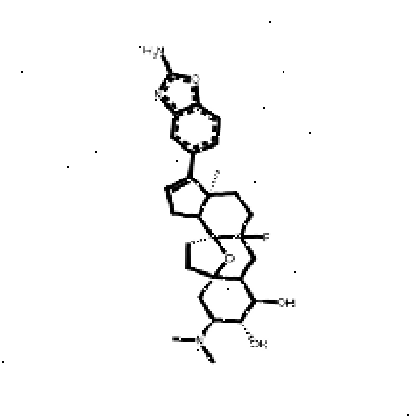 CN(C)[C@H]1C[C@@]23CC[C@]4(O2)C2CC=C(c5ccc6oc(N)nc6c5)[C@@]2(C)CCC4(F)CC3[C@@H](O)[C@@H]1O